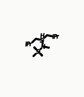 CC(C)C[SiH](CC(C)C)N(C)[Si](C)(C)C